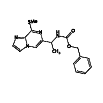 CSc1nc(C(C)NC(=O)OCc2ccccc2)cn2ccnc12